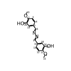 COc1ccc(C=NN=Cc2ccc(OC)c(O)c2)cc1O